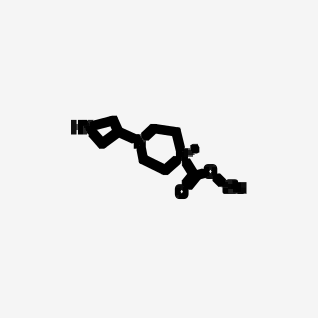 CC(C)(C)OC(=O)[N+]1(C)CCN(C2CNC2)CC1